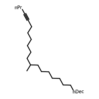 [CH2]CCC#CCCCCCCC(C)CCCCCCCCCCCCCCCC[CH2]